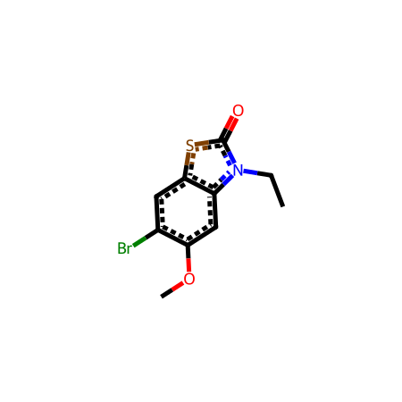 CCn1c(=O)sc2cc(Br)c(OC)cc21